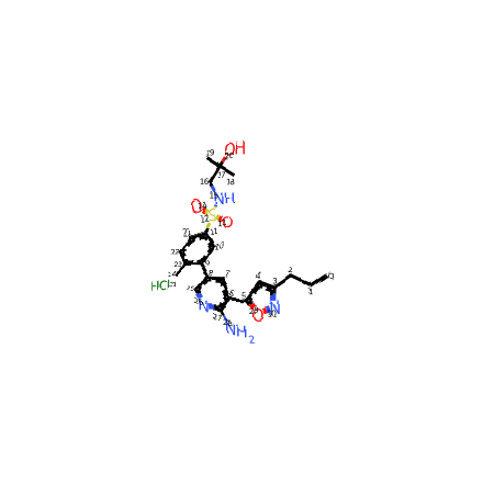 CCCc1cc(-c2cc(-c3cc(S(=O)(=O)NCC(C)(C)O)ccc3C)cnc2N)on1.Cl